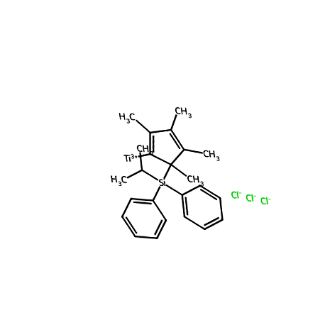 CC1=C(C)C(C)([Si](c2ccccc2)(c2ccccc2)C(C)C)[C]([Ti+3])=C1C.[Cl-].[Cl-].[Cl-]